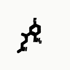 CNCCN(C)c1cc(F)ccc1N